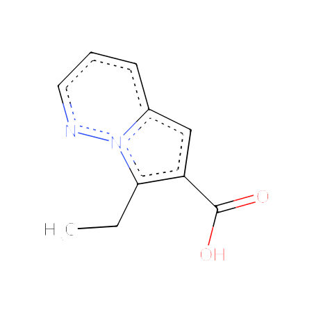 CCc1c(C(=O)O)cc2cccnn12